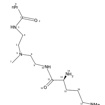 CCCC(=O)NCCN(C)CCNC(=O)[C@@H](N)CCCNC